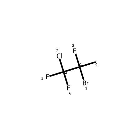 CC(F)(Br)C(F)(F)Cl